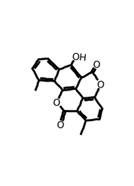 Cc1ccc2oc(=O)c3c(O)c4cccc(C)c4c4oc(=O)c1c2c34